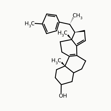 Cc1ccc([C@H](C)[C@H]2CC=C3C4=C(CC[C@@]32C)[C@@]2(C)CCC(O)CC2CC4)cc1